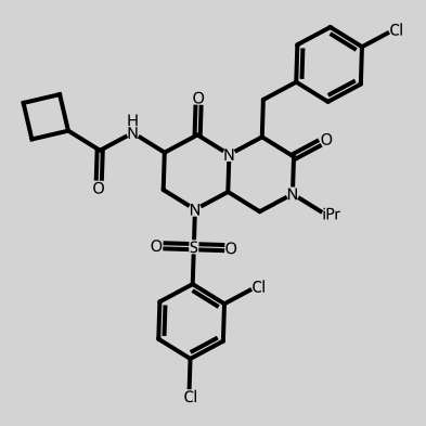 CC(C)N1CC2N(C(=O)C(NC(=O)C3CCC3)CN2S(=O)(=O)c2ccc(Cl)cc2Cl)C(Cc2ccc(Cl)cc2)C1=O